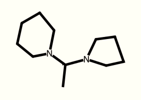 C[C](N1CCCCC1)N1CCCC1